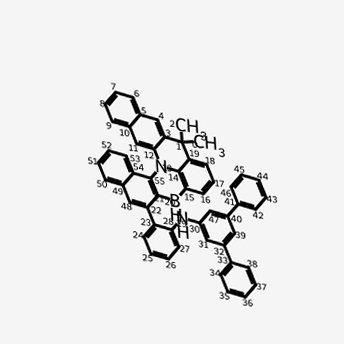 CC1(C)c2cc3ccccc3cc2N2c3c(cccc31)Bc1c(-c3ccccc3Nc3cc(-c4ccccc4)cc(-c4ccccc4)c3)cc3ccccc3c12